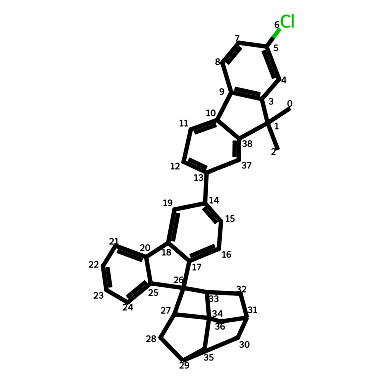 CC1(C)c2cc(Cl)ccc2-c2ccc(-c3ccc4c(c3)-c3ccccc3C43C4CC5CC6CC3C4(C5)C6)cc21